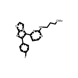 COCCCNc1nccc(-c2c(-c3ccc(F)cc3)nc3occn23)n1